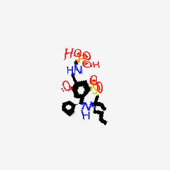 CCCC[C@]1(CC)CS(=O)(=O)c2cc(CNCP(=O)(O)O)c(OC)cc2[C@@H](c2ccccc2)N1